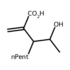 C=C(C(=O)O)C(CCCCC)C(C)O